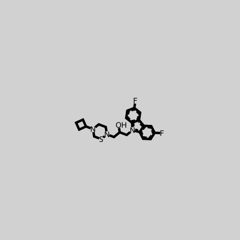 OC(CN1CCN(C2CCC2)CS1)Cn1c2ccc(F)cc2c2cc(F)ccc21